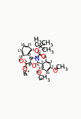 COc1ccc(C2O[C@@H](C(=O)[O-])[C@H](c3ccccc3)N2C(=O)OC(C)(C)C)c(OC)c1.[K+]